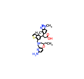 CC[C@@H]1CN(Cc2cc(C(CC(=O)O)c3ccc4c(nnn4C)c3C)cc3ccsc23)Cc2nc(N)ccc2O1